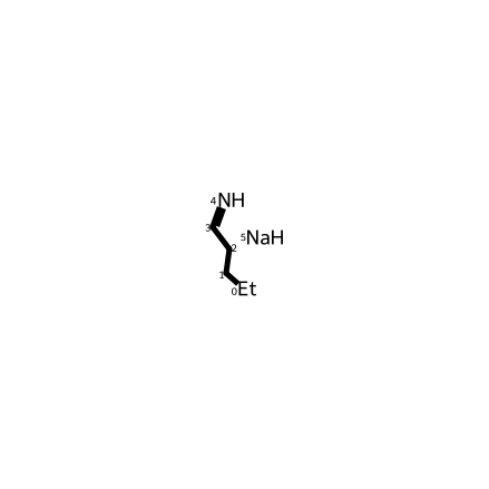 CCCCC=N.[NaH]